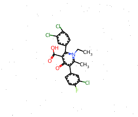 CCn1c(C)c(-c2ccc(F)c(Cl)c2)c(=O)c(C(=O)O)c1-c1ccc(Cl)c(Cl)c1